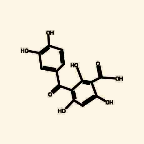 O=C(O)c1c(O)cc(O)c(C(=O)c2ccc(O)c(O)c2)c1O